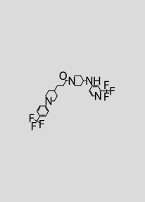 O=C(CCC1CCN(c2ccc(C(F)(F)F)cc2)CC1)N1CCC(Nc2ccnc(C(F)(F)F)c2)CC1